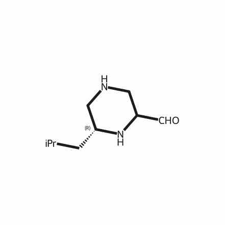 CC(C)C[C@@H]1CNCC(C=O)N1